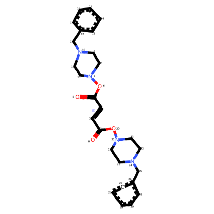 O=C(/C=C/C(=O)ON1CCN(Cc2ccccc2)CC1)ON1CCN(Cc2ccccc2)CC1